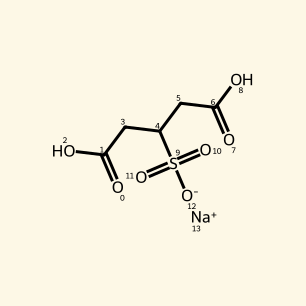 O=C(O)CC(CC(=O)O)S(=O)(=O)[O-].[Na+]